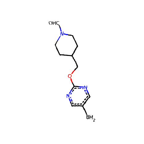 Bc1cnc(OCC2CCN(C=O)CC2)nc1